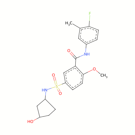 COc1ccc(S(=O)(=O)NC2CCC(O)C2)cc1C(=O)Nc1ccc(F)c(C)c1